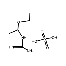 CCOC(C)NC(=N)N.O=S(=O)(O)O